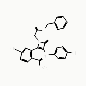 COC(=O)c1ccc(Cl)cc1C1=C(Oc2ccc(Cl)cc2)C(=O)N1CC(=O)OCc1ccccc1